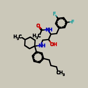 CCCCc1cccc(C2(NCC(O)C(Cc3cc(F)cc(F)c3)NC(C)=O)CCC(C)CC2)c1